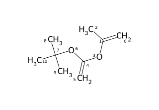 C=C(C)OC(=C)OC(C)(C)C